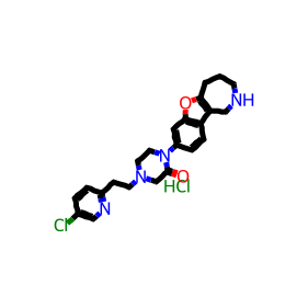 Cl.O=C1CN(CCc2ccc(Cl)cn2)CCN1c1ccc2c3c(oc2c1)CCCNC3